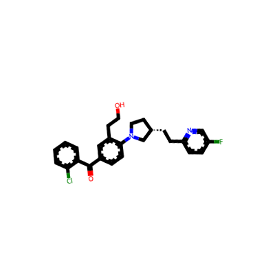 O=C(c1ccc(N2CC[C@H](CCc3ccc(F)cn3)C2)c(CCO)c1)c1ccccc1Cl